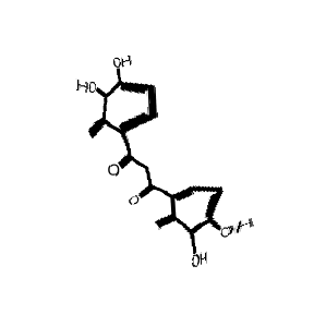 C=C1C(C(=O)CC(=O)C2=CC=C(O)C(O)C2=C)=CC=C(O)C1O